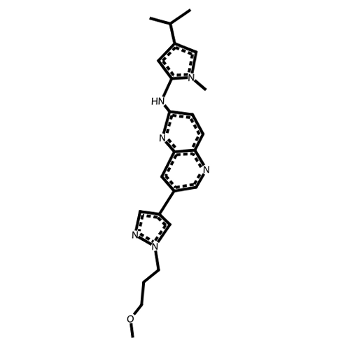 COCCCn1cc(-c2cnc3ccc(Nc4cc(C(C)C)cn4C)nc3c2)cn1